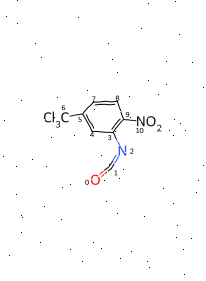 O=C=Nc1cc(C(Cl)(Cl)Cl)ccc1[N+](=O)[O-]